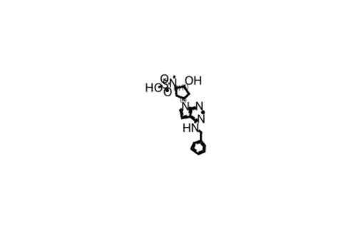 CN([C@H]1C[C@@H](n2ccc3c(NCc4ccccc4)ncnc32)C[C@@H]1O)S(=O)(=O)O